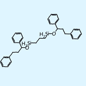 c1ccc(CCC(O[SiH2]CCC[SiH2]OC(CCc2ccccc2)c2ccccc2)c2ccccc2)cc1